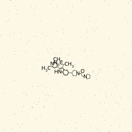 Cc1cc(-c2[nH]c3ccc(C4CCN(C(=O)CN5CCCC5)CC4)cc3c2C(C)C)cc(C)n1